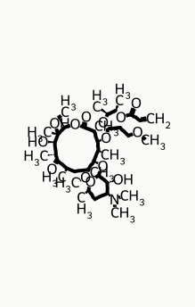 C=CC(=O)O[C@H](C)[C@H](C)OC(CCOC)O[C@H]1[C@H](C)[C@@H](OC2O[C@H](C)C[C@H](N(C)C)[C@H]2O)[C@](C)(OC)C[C@@H](C)C(=O)[C@H](C)[C@@H](O)[C@](C)(O)[C@@H](CC)OC(=O)[C@@H]1C